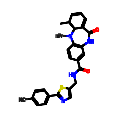 CCCN1c2ccc(C(=O)NCc3cnc(-c4ccc(C#N)cc4)s3)cc2NC(=O)C2=CC=CC(C)C21